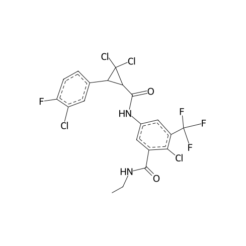 CCNC(=O)c1cc(NC(=O)C2C(c3ccc(F)c(Cl)c3)C2(Cl)Cl)cc(C(F)(F)F)c1Cl